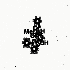 COC1(NC(=O)Cc2ccccc2)C(=O)N2C(C(=O)OC(c3ccccc3)c3ccccc3)=C(O)CS[C@H]21